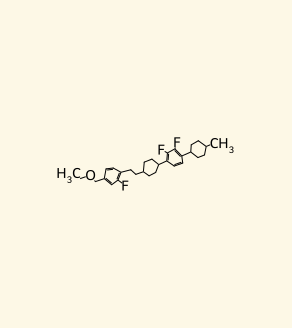 CCOCc1ccc(CCC2CCC(c3ccc(C4CCC(C)CC4)c(F)c3F)CC2)c(F)c1